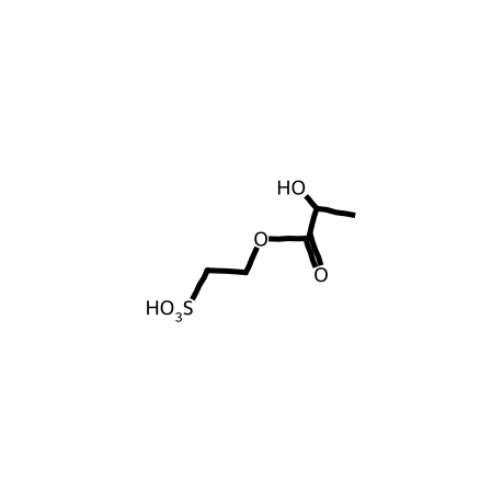 CC(O)C(=O)OCCS(=O)(=O)O